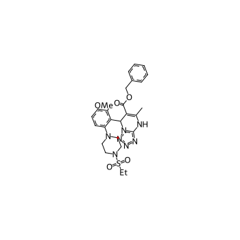 CCS(=O)(=O)N1CCN(c2cccc(OC)c2C2C(C(=O)OCc3ccccc3)=C(C)Nc3nnnn32)CC1